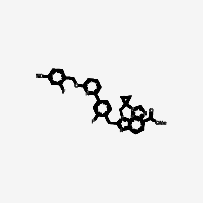 COC(=O)c1ccc2nc(Cc3ccc(-c4cccc(OCc5ccc(C#N)cc5F)n4)cc3F)n(CC3(n4cncn4)CC3)c2c1